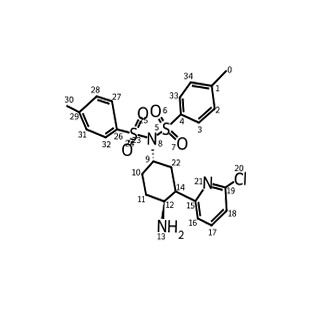 Cc1ccc(S(=O)(=O)N([C@H]2CC[C@H](N)C(c3cccc(Cl)n3)C2)S(=O)(=O)c2ccc(C)cc2)cc1